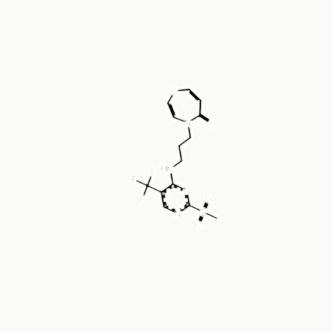 CS(=O)(=O)c1ncc(C(F)(F)F)c(NCCCN2C=COC=CC2=O)n1